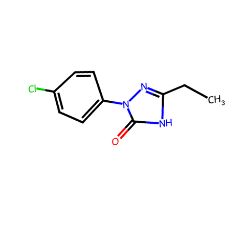 CCc1nn(-c2ccc(Cl)cc2)c(=O)[nH]1